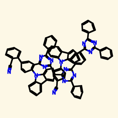 N#Cc1ccc(-n2c3ccccc3c3cc(-c4nc(-c5ccccc5)nc(-c5ccccc5)n4)ccc32)c(-c2nc(-c3ccccc3)nc(-c3cc(-c4ccccc4C#N)ccc3-n3c4ccccc4c4cc(-c5nc(-c6ccccc6)nc(-c6ccccc6)n5)ccc43)n2)c1